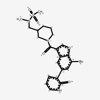 CN(CC1CCCN(C(=O)c2coc3c(C(C)(C)C)cc(-c4ccc[nH]c4=O)cc23)C1)S(C)(=O)=O